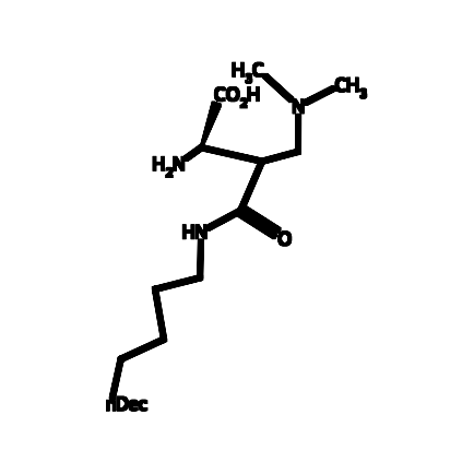 CCCCCCCCCCCCCCNC(=O)C(CN(C)C)[C@@H](N)C(=O)O